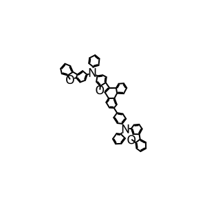 c1ccc(N(c2ccc3c(c2)oc2c4ccc(-c5ccc(N(c6ccccc6)c6cccc7c6oc6ccccc67)cc5)cc4c4ccccc4c32)c2ccc3oc4ccccc4c3c2)cc1